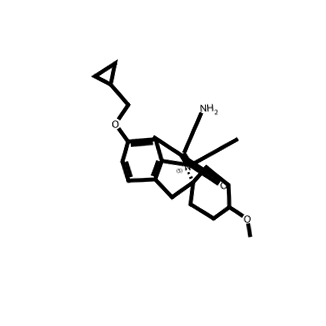 COC1CCC2(CC1)Cc1ccc(OCC3CC3)cc1[C@@]21N=C(N)N(C)C1=O